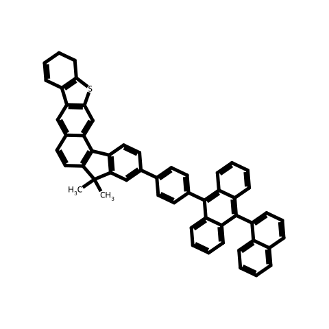 CC1(C)c2cc(-c3ccc(-c4c5ccccc5c(-c5cccc6ccccc56)c5ccccc45)cc3)ccc2-c2c1ccc1cc3c4c(sc3cc21)CCC=C4